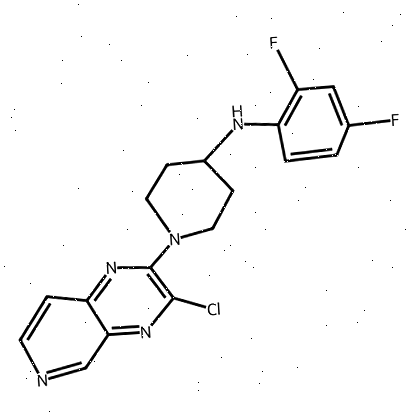 Fc1ccc(NC2CCN(c3nc4ccncc4nc3Cl)CC2)c(F)c1